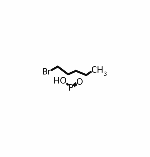 CCCCCBr.O=PO